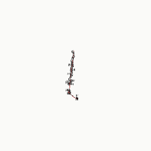 CC(=O)COCCOCCCC(=O)COCCOCCCC(=O)COCCOCCNC(=O)COCCOCCNC(=O)COCCOCCNC(=O)COCCOCCCC(=O)CC[C@H](NC(=O)CC[C@H](NC(=O)CCCCCCCCCCCNC(=O)CCCS(=O)(=O)CC(=O)CCCCCCCCCCCCCCCc1nnn[nH]1)C(=O)O)C(=O)O